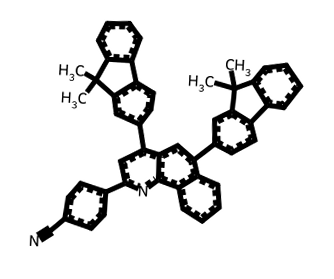 CC1(C)c2ccccc2-c2ccc(-c3cc4c(-c5ccc6c(c5)C(C)(C)c5ccccc5-6)cc(-c5ccc(C#N)cc5)nc4c4ccccc34)cc21